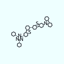 c1ccc(-c2nc(-c3ccccc3)nc(-c3ccc4sc5c(-c6ccc7c(c6)sc6cc(-n8c9ccccc9c9ccccc98)ccc67)cccc5c4c3)n2)cc1